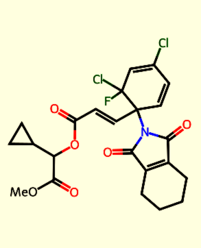 COC(=O)C(OC(=O)C=CC1(N2C(=O)C3=C(CCCC3)C2=O)C=CC(Cl)=CC1(F)Cl)C1CC1